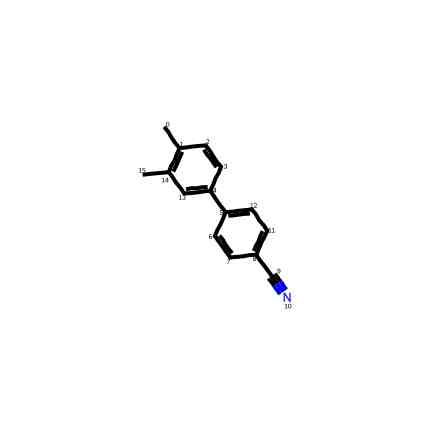 Cc1ccc(-c2ccc(C#N)cc2)cc1C